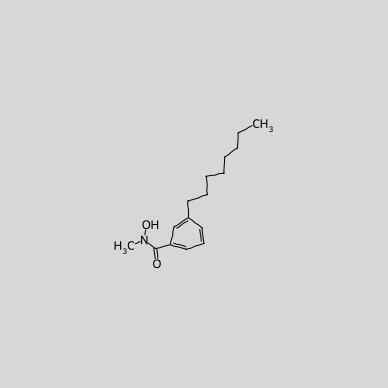 CCCCCCCCc1cccc(C(=O)N(C)O)c1